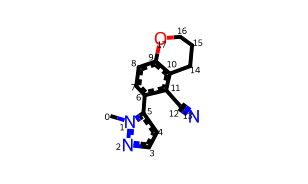 Cn1nccc1-c1ccc2c(c1C#N)CCCO2